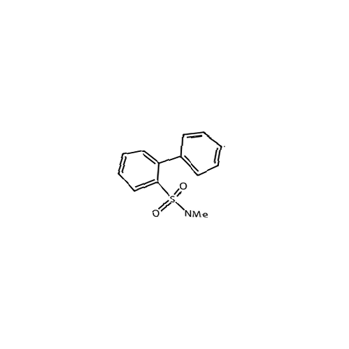 CNS(=O)(=O)c1ccccc1-c1cc[c]cc1